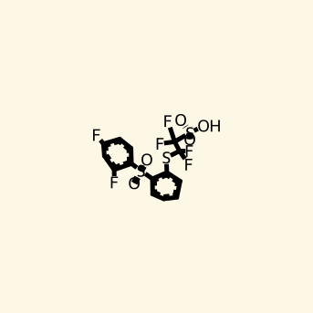 O=S(=O)(c1ccc(F)cc1F)c1ccccc1SC(F)(F)C(F)(F)S(=O)(=O)O